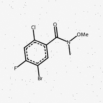 CON(C)C(=O)c1cc(Br)c(F)cc1Cl